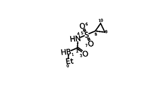 CCBC(=O)NS(=O)(=O)C1CC1